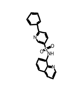 O=S(=O)(Nc1cccc2cccnc12)c1ccc(-c2ccccc2)nc1